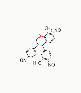 Cc1cc(C2c3ccc(N=O)c(C)c3OCC2c2ccc(N=O)cc2)ccc1N=O